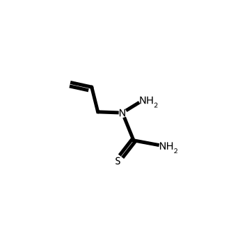 C=CCN(N)C(N)=S